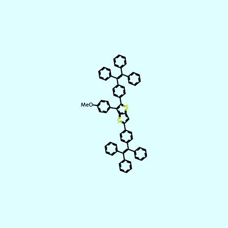 COc1ccc(-c2c(-c3ccc(C(=C(c4ccccc4)c4ccccc4)c4ccccc4)cc3)sc3cc(-c4ccc(C(=C(c5ccccc5)c5ccccc5)c5ccccc5)cc4)sc23)cc1